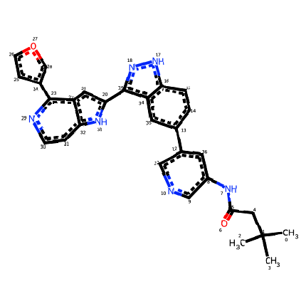 CC(C)(C)CC(=O)Nc1cncc(-c2ccc3[nH]nc(-c4cc5c(-c6ccoc6)nccc5[nH]4)c3c2)c1